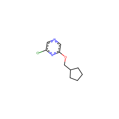 Clc1cncc(OCC2CCCC2)n1